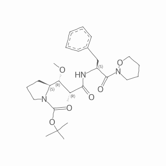 CO[C@H]([C@@H](C)C(=O)N[C@@H](Cc1ccccc1)C(=O)N1CCCCO1)[C@@H]1CCCN1C(=O)OC(C)(C)C